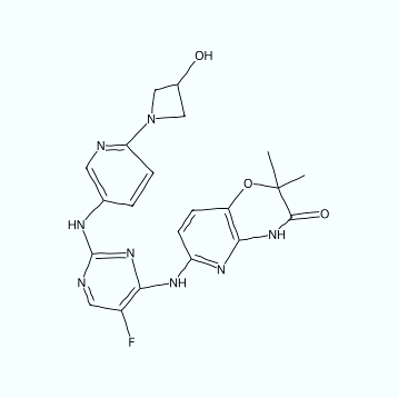 CC1(C)Oc2ccc(Nc3nc(Nc4ccc(N5CC(O)C5)nc4)ncc3F)nc2NC1=O